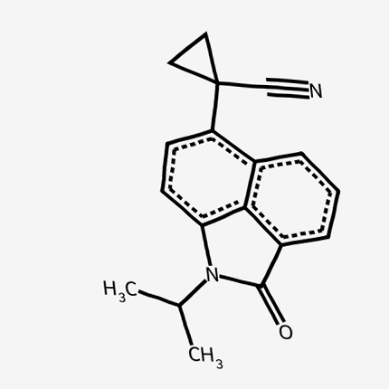 CC(C)N1C(=O)c2cccc3c(C4(C#N)CC4)ccc1c23